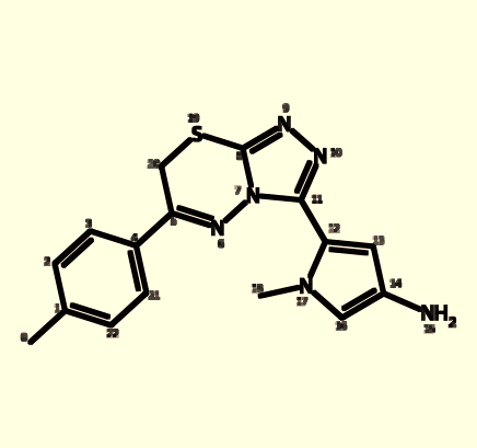 Cc1ccc(C2=Nn3c(nnc3-c3cc(N)cn3C)SC2)cc1